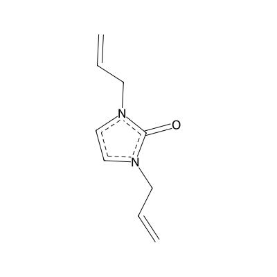 C=CCn1ccn(CC=C)c1=O